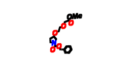 COC(=O)COCCOC1CCN(C(=O)OCc2ccccc2)C1